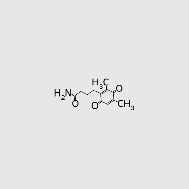 CC1=CC(=O)C(CCCC(N)=O)=C(C)C1=O